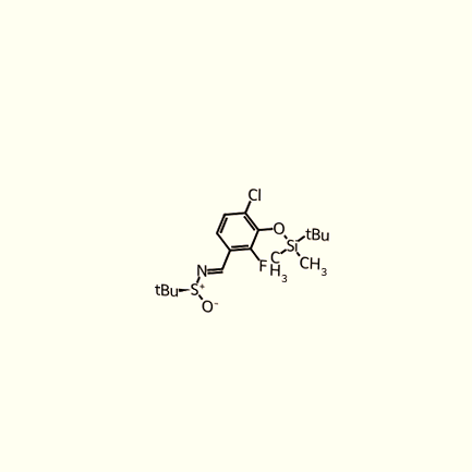 CC(C)(C)[S@+]([O-])/N=C/c1ccc(Cl)c(O[Si](C)(C)C(C)(C)C)c1F